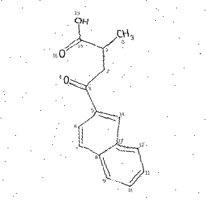 CC(CC(=O)c1ccc2ccccc2c1)C(=O)O